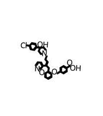 O=C(O)c1ccc(COc2cccc3c2C/C(=C/CCN2CCC(O)(c4ccc(Cl)cc4)CC2)c2cccnc2O3)cc1